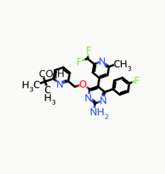 Cc1cc(-c2c(OCc3cccc(C(C)(C)C(=O)O)n3)nc(N)nc2-c2ccc(F)cc2)cc(C(F)F)n1